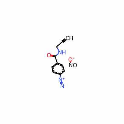 C#CCNC(=O)c1ccc([N+]#N)cc1.O=N[O-]